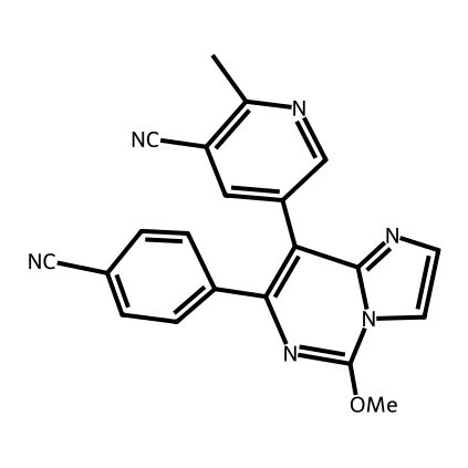 COc1nc(-c2ccc(C#N)cc2)c(-c2cnc(C)c(C#N)c2)c2nccn12